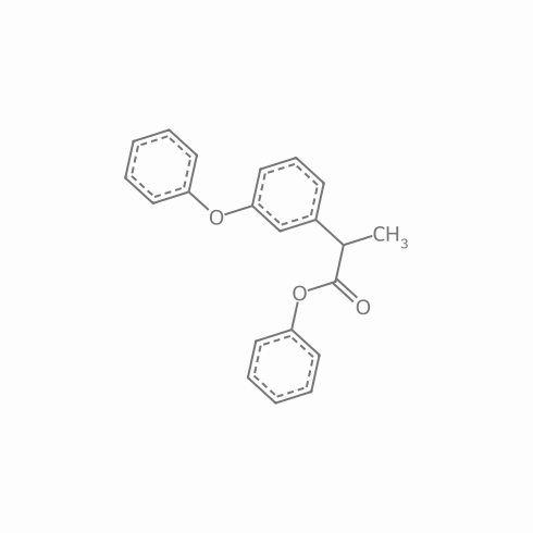 CC(C(=O)Oc1ccccc1)c1cccc(Oc2ccccc2)c1